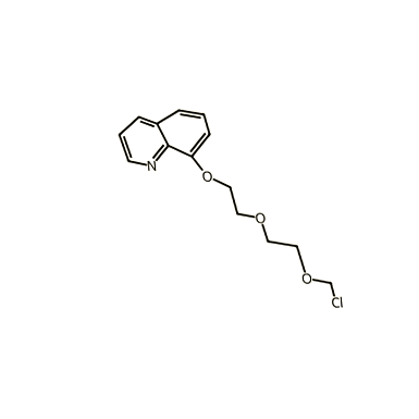 ClCOCCOCCOc1cccc2cccnc12